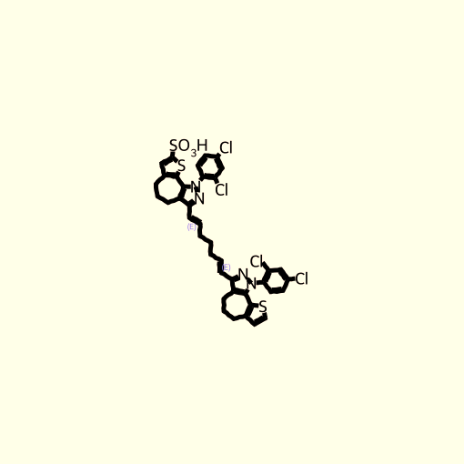 O=S(=O)(O)c1cc2c(s1)-c1c(c(/C=C/CCC/C=C/c3nn(-c4ccc(Cl)cc4Cl)c4c3CCCc3ccsc3-4)nn1-c1ccc(Cl)cc1Cl)CCC2